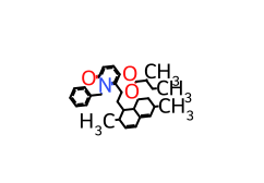 CCC(C)C(=O)OC1CC(C)C=C2C=CC(C)C(CCc3cccc(=O)n3Cc3ccccc3)C21